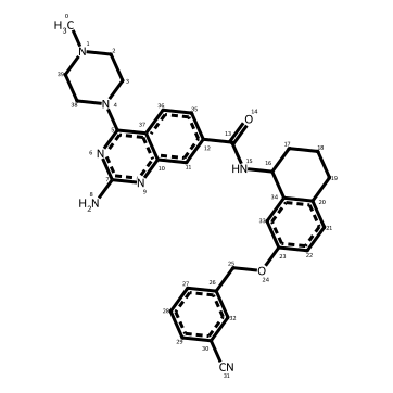 CN1CCN(c2nc(N)nc3cc(C(=O)NC4CCCc5ccc(OCc6cccc(C#N)c6)cc54)ccc23)CC1